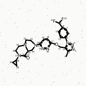 Cc1nnn(-c2ccc(C(F)F)cc2)c1COc1ccc(N2CCN3CCN(C4CC4)C(=O)C3C2)nn1